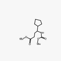 CC(C)(C)OC(=O)CCC(NC(=O)OC(C)(C)C)C1CCCC1